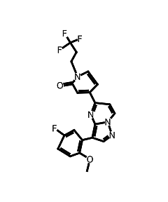 COc1ccc(F)cc1-c1cnn2ccc(-c3ccn(CCC(F)(F)F)c(=O)c3)nc12